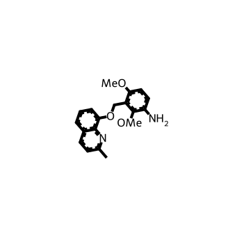 COc1ccc(N)c(OC)c1COc1cccc2ccc(C)nc12